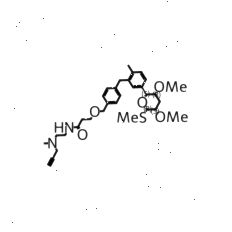 C#CCN(C)CCNC(=O)CCOCc1ccc(Cc2cc([C@@H]3O[C@H](SC)[C@@H](OC)C[C@H]3OC)ccc2C)cc1